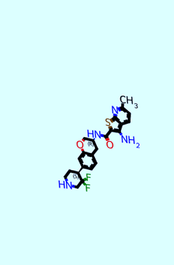 Cc1ccc2c(N)c(C(=O)N[C@H]3COc4cc([C@@H]5CCNCC5(F)F)ccc4C3)sc2n1